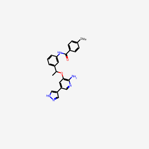 CSc1ccc(C(=O)Nc2cccc(C(C)Oc3cc(-c4cn[nH]c4)cnc3N)c2)cc1